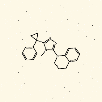 Cn1c(N2CCCc3ccccc32)nnc1C1(c2ccccc2)CC1